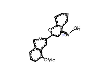 COc1cccc2cnc(-c3c/c(=N/O)c4ccccc4o3)cc12